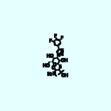 CCN(C)C(=O)[C@@H](S[C@@H]1O[C@H](CO)[C@H](O)[C@H](n2cc(-c3cc(F)c(F)c(F)c3)nn2)[C@H]1O)C(C)(C)O